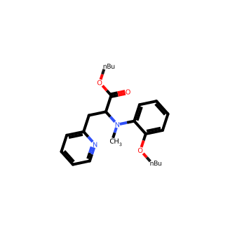 CCCCOC(=O)C(Cc1ccccn1)N(C)c1ccccc1OCCCC